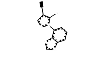 N#Cc1cnn(-c2cccc3[nH]cnc23)c1N